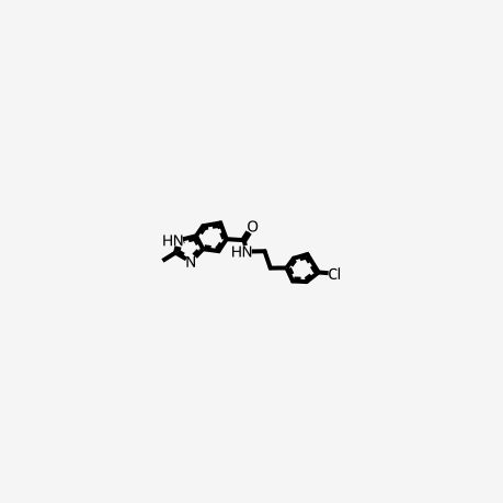 Cc1nc2cc(C(=O)NCCc3ccc(Cl)cc3)ccc2[nH]1